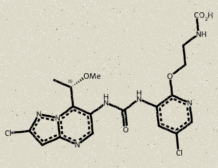 CO[C@@H](C)c1c(NC(=O)Nc2cc(Cl)cnc2OCCNC(=O)O)cnc2cc(Cl)nn12